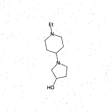 CCN1CCC(N2CCC(O)C2)CC1